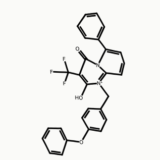 O=c1c(C(F)(F)F)c(O)[n+](Cc2ccc(Oc3ccccc3)cc2)c2cccc(-c3ccccc3)n12